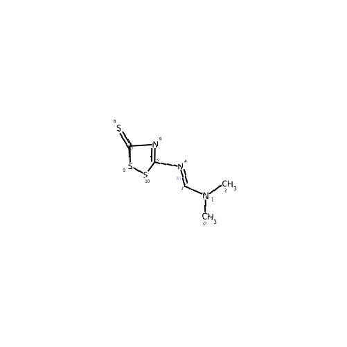 CN(C)/C=N/c1nc(=S)ss1